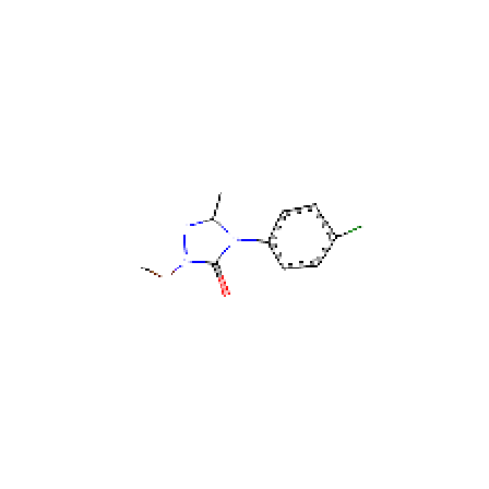 CCC1NN(SC(Cl)(Cl)Cl)C(=O)N1c1ccc(Cl)cc1